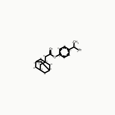 CC(C)C(C)c1ccc(OC(=O)CC23CC4CC(CC(C4)C2)C3)cc1